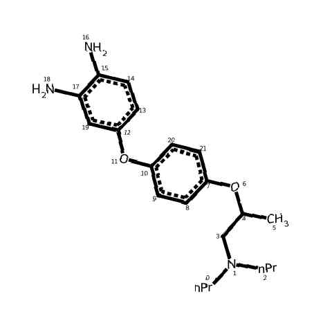 CCCN(CCC)CC(C)Oc1ccc(Oc2ccc(N)c(N)c2)cc1